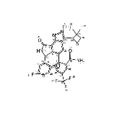 Cn1nc2c3c(c(-c4c(F)cc(C(F)(F)F)cc4C(N)=O)cc2c1C1CCC1(F)F)C(c1cc(F)ccc1Cl)NC3=O